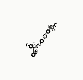 CCC(C)n1cnn(-c2ccc(N3CCN(c4ccc(OCC5COC(Cn6ncc7ccccc76)(c6ccc(F)cc6F)O5)cc4)CC3)cc2)c1=O